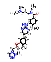 COc1ccc(C(=O)N(C)CCCN(C)C)cc1Nc1ncc(-c2ccc(C#N)c(OC(C)Cn3cnnn3)c2)cn1